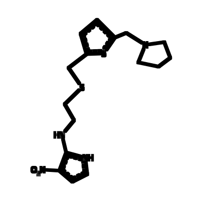 O=[N+]([O-])c1cc[nH]c1NCCSCc1ccc(CN2CCCC2)s1